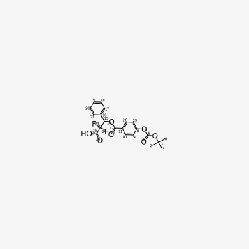 CC(C)(C)OC(=O)Oc1ccc(C(=O)OC(c2ccccc2)C(F)(F)C(=O)O)cc1